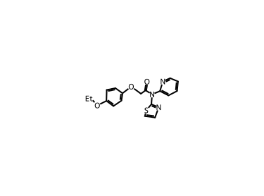 CCOc1ccc(OCC(=O)N(c2ccccn2)c2nccs2)cc1